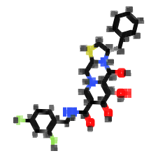 O=C(NCc1ccc(F)cc1F)c1cn2c(c(O)c1=O)C(=O)N1C(C2)SC[C@@H]1Cc1ccccc1